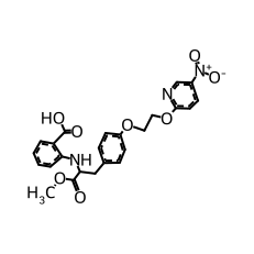 COC(=O)C(Cc1ccc(OCCOc2ccc([N+](=O)[O-])cn2)cc1)Nc1ccccc1C(=O)O